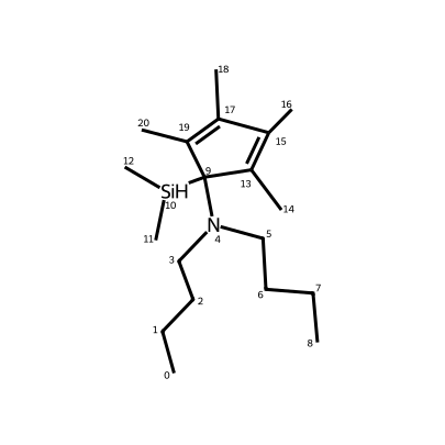 CCCCN(CCCC)C1([SiH](C)C)C(C)=C(C)C(C)=C1C